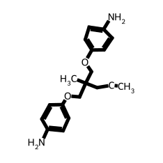 CCCC(C)(COc1ccc(N)cc1)COc1ccc(N)cc1